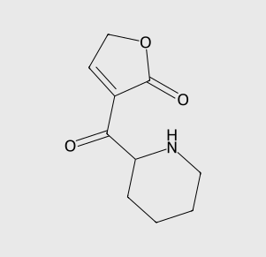 O=C1OCC=C1C(=O)C1CCCCN1